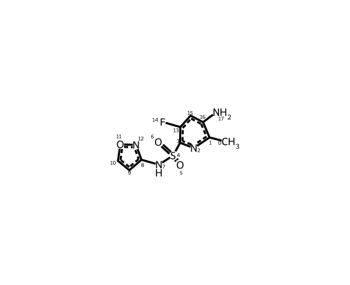 Cc1nc(S(=O)(=O)Nc2ccon2)c(F)cc1N